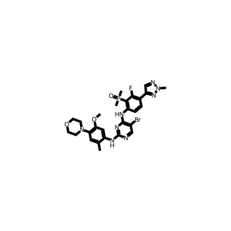 COc1cc(Nc2ncc(Br)c(Nc3ccc(-c4cnn(C)n4)c(F)c3P(C)(C)=O)n2)c(C)cc1N1CCOCC1